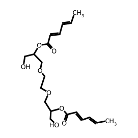 C/C=C/C=C/C(=O)OC(CO)COCCOCC(CO)OC(=O)/C=C/C=C/C